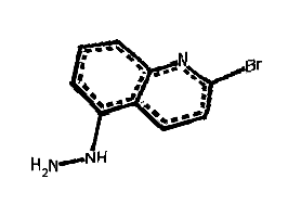 NNc1cccc2nc(Br)ccc12